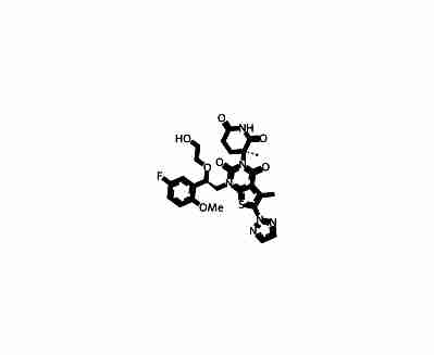 COc1ccc(F)cc1[C@H](Cn1c(=O)n([C@@]2(C)CCC(=O)NC2=O)c(=O)c2c(C)c(-n3nccn3)sc21)OCCO